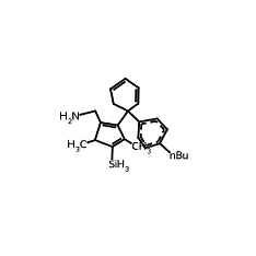 CCCCc1ccc(C2(C3=C(CN)C(C)C([SiH3])=C3C)C=CC=CC2)cc1